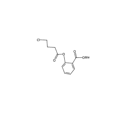 COC(=O)c1ccccc1OC(=O)CCCCl